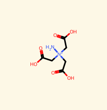 N[N+](CC(=O)O)(CC(=O)O)CC(=O)O